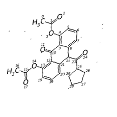 CC(=O)Oc1cccc2c1C(=O)c1c(OC(C)=O)cccc1C2C(=O)C1CCCC1